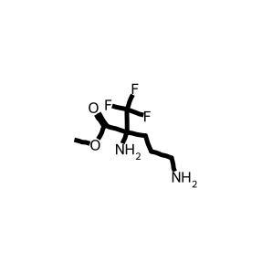 COC(=O)C(N)(CCCN)C(F)(F)F